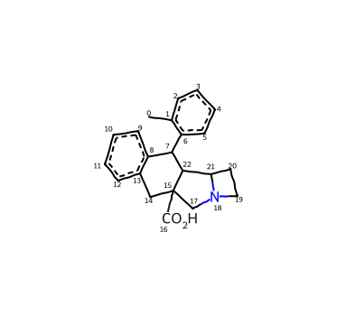 Cc1ccccc1C1c2ccccc2CC2(C(=O)O)CN3CCC3C12